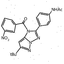 CC(=O)Nc1ccc(-c2nn3nc(C(C)(C)C)cc3n2C(=O)c2cccc([N+](=O)[O-])c2)cc1